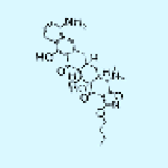 CCCCOc1noc2c1C(=O)[C@@]1(O)C(O)=C3C(=O)c4c(cc5c(N)cccc5c4O)C[C@H]3C[C@H]1[C@@H]2N(C)C